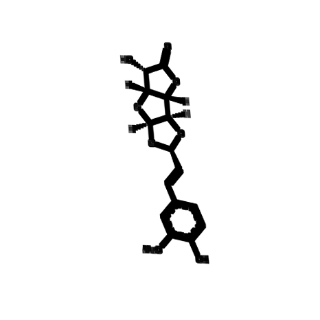 COc1cc(C=C[C@H]2O[C@H]3O[C@H]4[C@H](OC(=O)[C@H]4O)[C@H]3O2)ccc1O